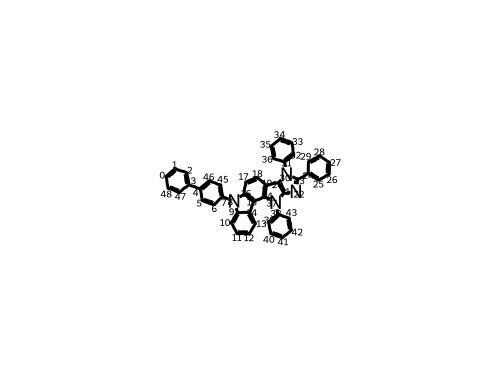 c1ccc(-c2ccc(-n3c4ccccc4c4c3ccc3c5c(nc(-c6ccccc6)n5-c5ccccc5)n(-c5ccccc5)c34)cc2)cc1